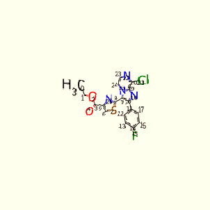 CCOC(=O)c1csc(-c2c(-c3ccc(F)cc3)nc3c(Cl)nccn23)n1